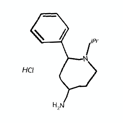 CC(C)N1CCC(N)CC1c1ccccc1.Cl